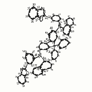 c1ccc(C2(c3ccccc3)c3cc(N(c4cccc(-c5nc6ccccc6o5)c4)c4cccc5ccccc45)ccc3-c3ccc(N(c4cccc(-c5nc6ccccc6o5)c4)c4cccc5ccccc45)cc32)cc1